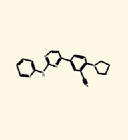 N#Cc1cc(-c2ccnc(Nc3ccccn3)n2)ccc1N1CCCC1